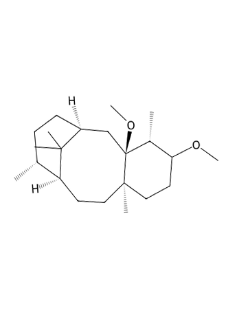 COC1CC[C@@]2(C)CC[C@H]3[C@H](C)CC[C@@H](C[C@]2(OC)[C@@H]1C)C3(C)C